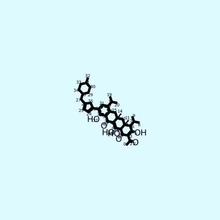 CC(=O)C1=C(O)C(C(C)C)[C@@]2(C)C[C@@]3(C)Cc4c(C(C)C)cc(C5=CC=C(CC6CCC(C)CC6)C5)c(O)c4C(=O)C3=C(O)[C@@]2(O)C1=O